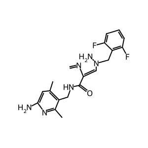 C=N/C(=C\N(N)Cc1c(F)cccc1F)C(=O)NCc1c(C)cc(N)nc1C